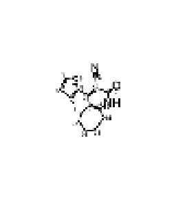 N#Cc1c(-c2cccs2)c2c([nH]c1=O)CCCCC2